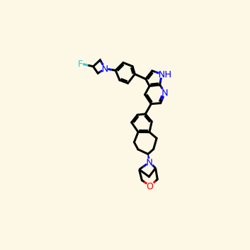 FC1CN(c2ccc(-c3c[nH]c4ncc(-c5ccc6c(c5)CC[C@@H](N5C7COCC5C7)CC6)cc34)cc2)C1